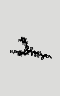 COC(=O)CNC[C@H](N)CNC(=O)c1ccc(-c2cnn(C)c2)nc1NCCc1cccc(F)c1